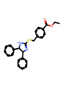 CCOC(=O)c1ccc(CSC2=NC(c3ccccc3)C(c3ccccc3)N2)cc1